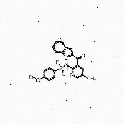 Cc1cnc(NS(=O)(=O)c2ccc(OC(C)C)cc2)c(C(=O)c2cc3ccccc3o2)c1